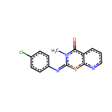 Cn1c(=Nc2ccc(Cl)cc2)sc2ncccc2c1=O